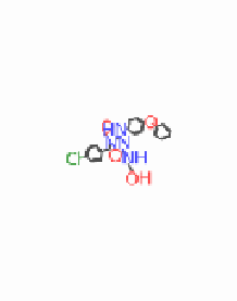 O=CN(Cc1ccc(Cl)cc1)/C(=N\C(=O)NCCO)Nc1ccc(Oc2ccccc2)cc1